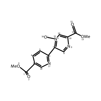 COC(=O)c1ccc(-c2cnc(C(=O)OC)c[n+]2[O-])nc1